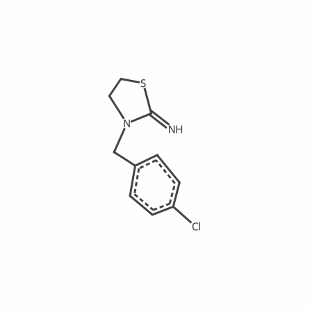 N=C1SCCN1Cc1ccc(Cl)cc1